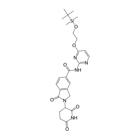 CC(C)(C)[Si](C)(C)OCCOc1ccnc(NC(=O)c2ccc3c(c2)CN(C2CCC(=O)NC2=O)C3=O)n1